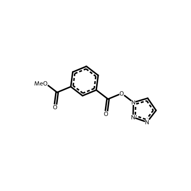 COC(=O)c1cccc(C(=O)On2ccnn2)c1